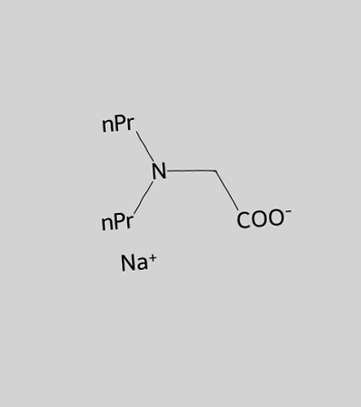 CCCN(CCC)CC(=O)[O-].[Na+]